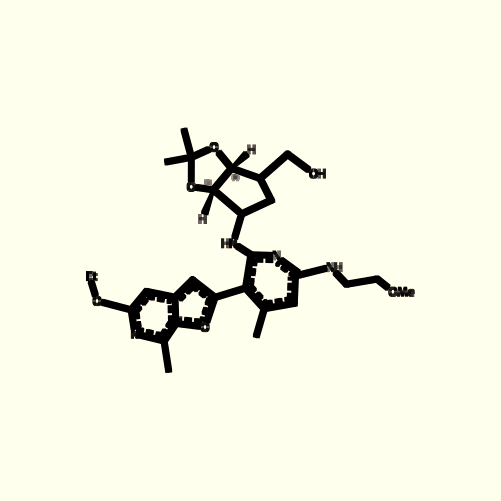 CCOc1cc2cc(-c3c(C)cc(NCCOC)nc3NC3CC(CO)[C@H]4OC(C)(C)O[C@@H]34)oc2c(C)n1